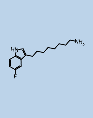 NCCCCCCCCc1c[nH]c2ccc(F)cc12